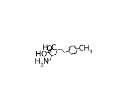 Cc1ccc(CCC(C)CC(CN)C(=O)O)cc1